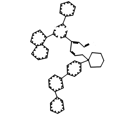 C=C/C=C(\C=C/CC1(c2ccc(-c3cccc(-c4ccccc4)c3)cc2)CCCCC1)c1nc(-c2ccccc2)nc(-c2cccc3ccccc23)n1